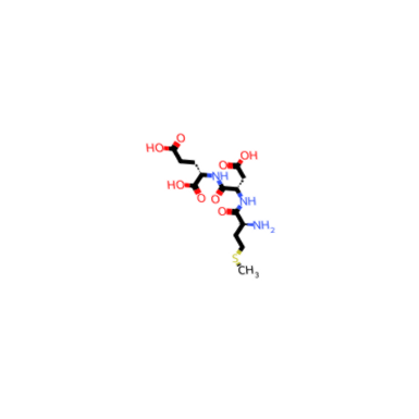 CSCC[C@H](N)C(=O)N[C@@H](CC(=O)O)C(=O)N[C@@H](CCC(=O)O)C(=O)O